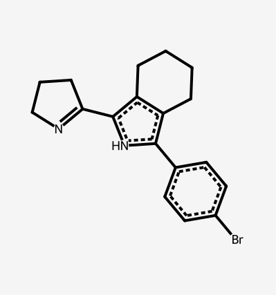 Brc1ccc(-c2[nH]c(C3=NCCC3)c3c2CCCC3)cc1